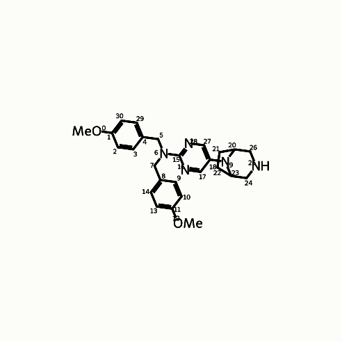 COc1ccc(CN(Cc2ccc(OC)cc2)c2ncc(N3C4CCC3CNC4)cn2)cc1